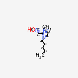 C=CCCCn1cc[n+](C)c1/C=N/O